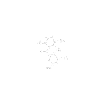 Cc1cc(C(C)(C)C)cc(S(=S)c2cc(C(C)(C)C)ccc2O)c1O